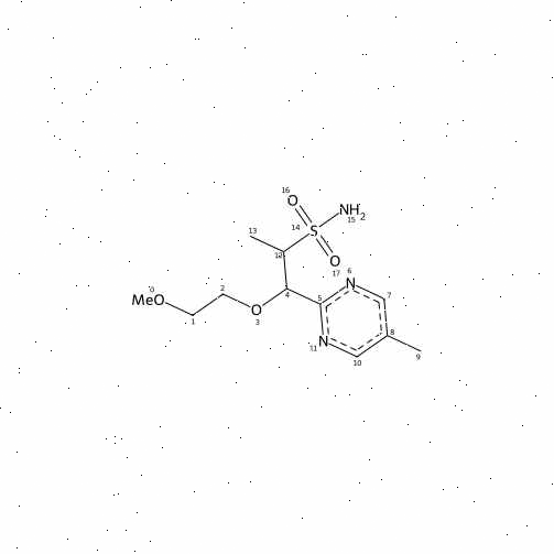 COCCOC(c1ncc(C)cn1)C(C)S(N)(=O)=O